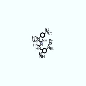 CCOCN(CC)c1ccc(N=N)c(NC(=N)/N=C(\NC)Nc2cc(N(CC)CC)ccc2N=N)c1